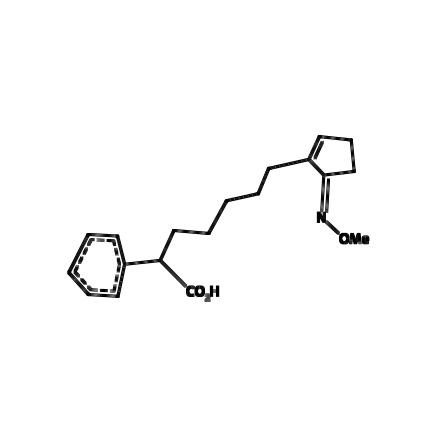 CO/N=C1\CCC=C1CCCCCC(C(=O)O)c1ccccc1